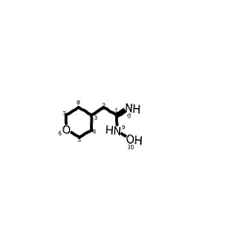 N=C(CC1CCOCC1)NO